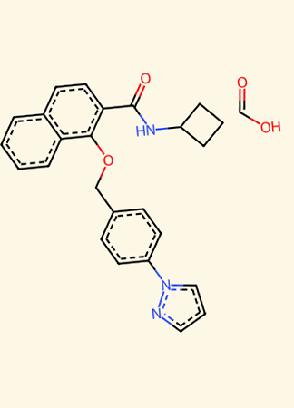 O=C(NC1CCC1)c1ccc2ccccc2c1OCc1ccc(-n2cccn2)cc1.O=CO